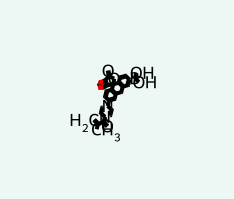 C=C(C)C(=O)N1CCN(c2ccc3c(c2)Cc2cc(B(O)O)ccc2C32OC(=O)c3ccccc32)CC1